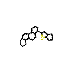 c1ccc2sc(-c3cccc4c3ccc3c5c(ccc34)CCCC5)cc2c1